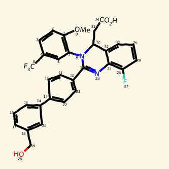 COc1ccc(C(F)(F)F)cc1N1C(c2ccc(-c3cccc(CO)c3)cc2)=Nc2c(F)cccc2C1CC(=O)O